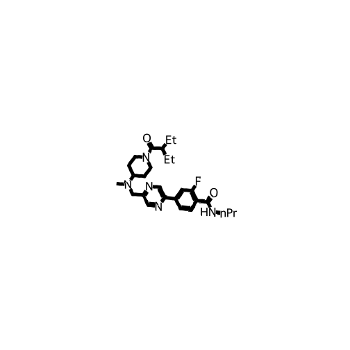 CCCNC(=O)c1ccc(-c2cnc(CN(C)C3CCN(C(=O)C(CC)CC)CC3)cn2)cc1F